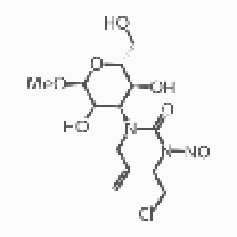 C=CCN(C(=O)N(CCCl)N=O)[C@H]1[C@@H](O)[C@@H](OC)O[C@H](CO)[C@H]1O